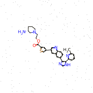 Cc1cccc(-c2[nH]cnc2-c2ccc3ncc(-c4csc(C(=O)OCCN5CCC[C@@H](N)C5)c4)cc3c2)n1